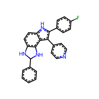 Fc1ccc(-c2[nH]c3ccc4c(c3c2-c2ccncc2)NC(c2ccccc2)N4)cc1